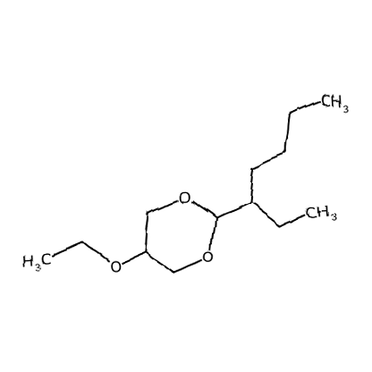 CCCCC(CC)C1OCC(OCC)CO1